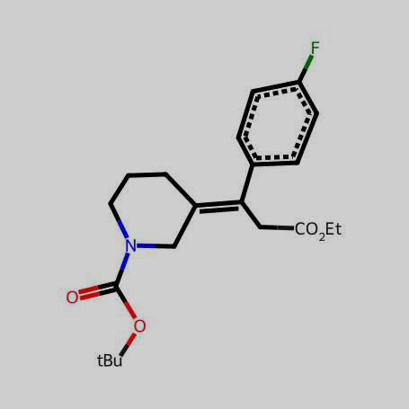 CCOC(=O)CC(=C1CCCN(C(=O)OC(C)(C)C)C1)c1ccc(F)cc1